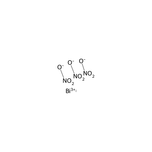 O=[N+]([O-])[O-].O=[N+]([O-])[O-].O=[N+]([O-])[O-].[Bi+3]